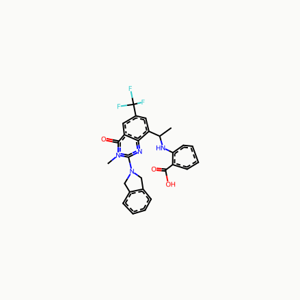 CC(Nc1ccccc1C(=O)O)c1cc(C(F)(F)F)cc2c(=O)n(C)c(N3Cc4ccccc4C3)nc12